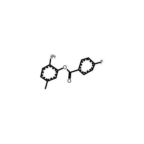 Cc1ccc(C(C)C)c(OC(=O)c2ccc(F)cc2)c1